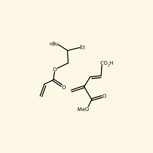 C=C(C=CC(=O)O)C(=O)OC.C=CC(=O)OCC(CC)CCCC